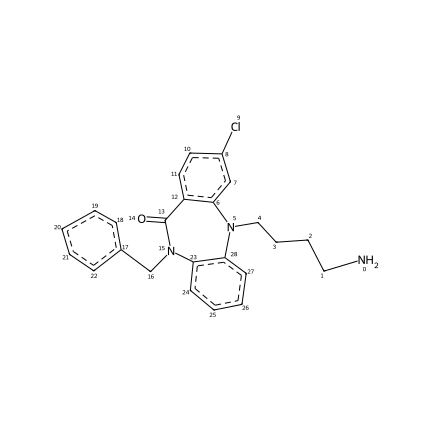 NCCCCN1c2cc(Cl)ccc2C(=O)N(Cc2ccccc2)c2ccccc21